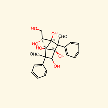 O=CC1(c2ccccc2)C(O)[C@@]2(O)C(C=O)(c3ccccc3)[C@@](O)([C@H](O)CO)[C@@]12O